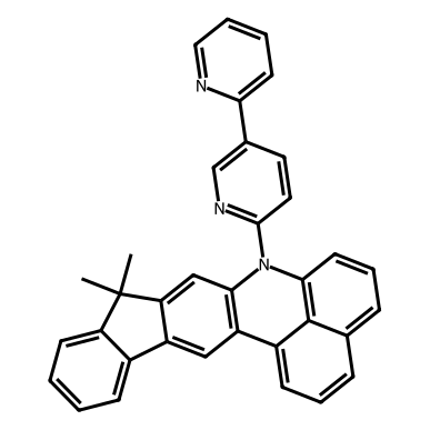 CC1(C)c2ccccc2-c2cc3c(cc21)N(c1ccc(-c2ccccn2)cn1)c1cccc2cccc-3c12